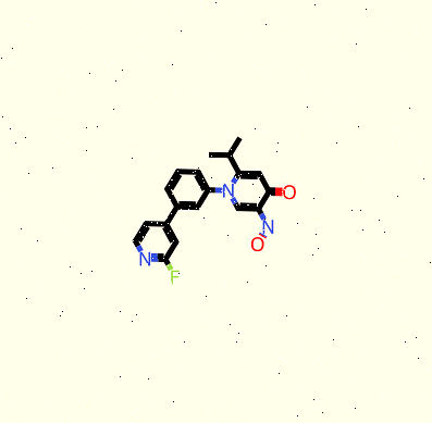 CC(C)c1cc(=O)c(N=O)cn1-c1cccc(-c2ccnc(F)c2)c1